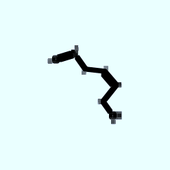 O=NC/C=C\CO